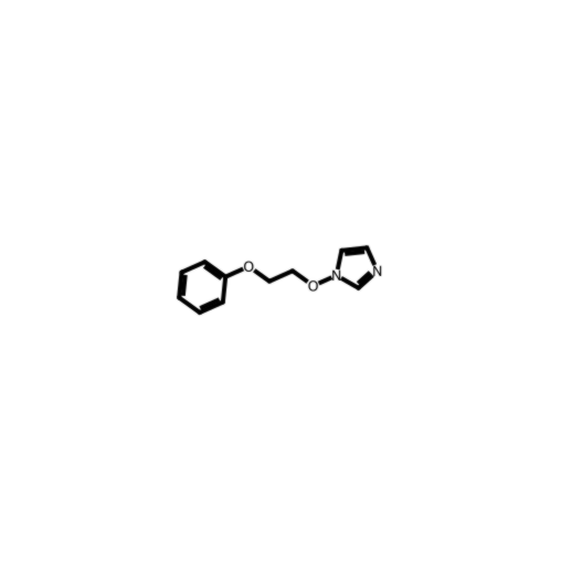 c1ccc(OCCOn2ccnc2)cc1